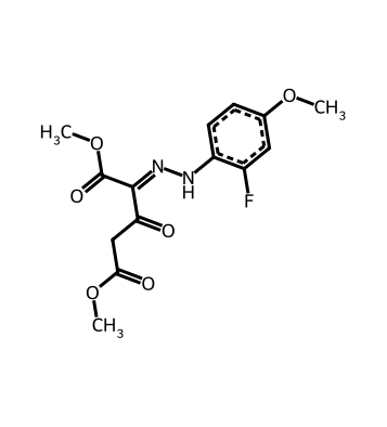 COC(=O)CC(=O)/C(=N\Nc1ccc(OC)cc1F)C(=O)OC